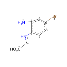 Nc1cc(Br)ccc1NCC(=O)O